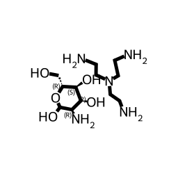 NCCN(CCN)CCN.N[C@H]1C(O)O[C@H](CO)[C@@H](O)[C@@H]1O